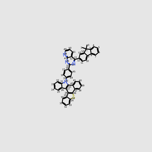 CC1(C)c2ccccc2-c2ccc(-c3nc(-c4ccc(-n5c6ccccc6c6c7c8ccccc8sc7c7ccccc7c65)cc4)nc4ncccc34)cc21